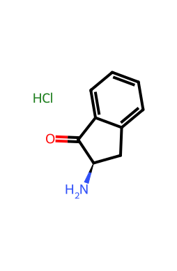 Cl.N[C@@H]1Cc2ccccc2C1=O